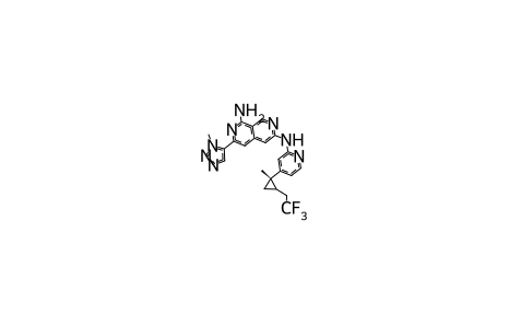 Cn1nncc1-c1cc2cc(Nc3cc([C@@]4(C)CC4CC(F)(F)F)ccn3)ncc2c(N)n1